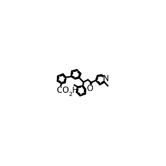 Cc1cc(C(=O)CC(c2cccc(-c3cccc(C(=O)O)c3)c2)c2ccccc2C)ccn1